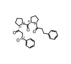 O=C(C[S+]([O-])c1ccccc1)[C@@H]1CCCN1C(=O)[C@H]1CCCN1C(=O)CCc1ccccc1